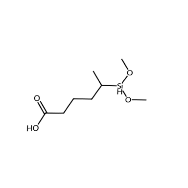 CO[SiH](OC)C(C)CCCC(=O)O